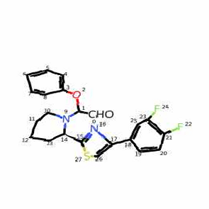 O=CC(Oc1ccccc1)N1CCCC[C@@H]1c1nc(-c2ccc(F)c(F)c2)cs1